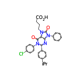 CC(C)c1ccc(-c2nc3c(c(=O)n2-c2ccc(Cl)cc2)n(CCCC(=O)O)c(=O)n3-c2ccccc2)cc1